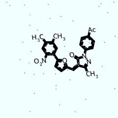 CC(=O)c1ccc(N2N=C(C)C(=Cc3ccc(-c4cc(C)c(C)cc4[N+](=O)[O-])o3)C2=O)cc1